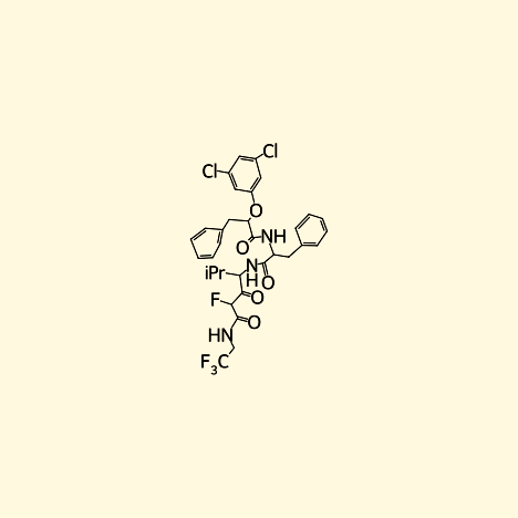 CC(C)C(NC(=O)C(Cc1ccccc1)NC(=O)C(Cc1ccccc1)Oc1cc(Cl)cc(Cl)c1)C(=O)C(F)C(=O)NCC(F)(F)F